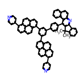 CC1(C)c2ccccc2-c2nc3ccc4ccccc4c3c(-c3ccc(-c4cc(-c5ccc6ccc7c(-c8ccncc8)ccc8ccc5c6c87)cc(-c5ccc6ccc7c(-c8ccncc8)ccc8ccc5c6c87)c4)cc3)c21